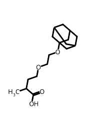 CC(CCOCCOC12CC3CC(CC(C3)C1)C2)C(=O)O